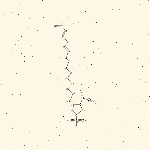 CCCCCC=CCC=CCCCCCCCCOC1CN(S(C)(=O)=O)CC1OCCCCCCCC